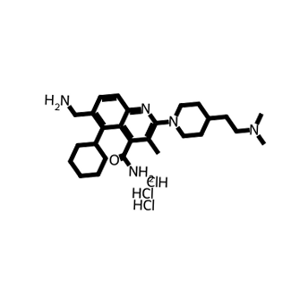 Cc1c(N2CCC(CCN(C)C)CC2)nc2ccc(CN)c(C3CCCCC3)c2c1C(N)=O.Cl.Cl.Cl